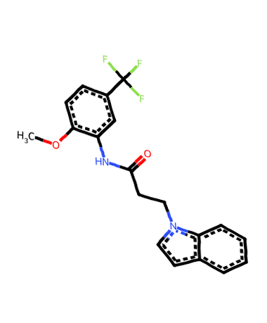 COc1ccc(C(F)(F)F)cc1NC(=O)CCn1ccc2ccccc21